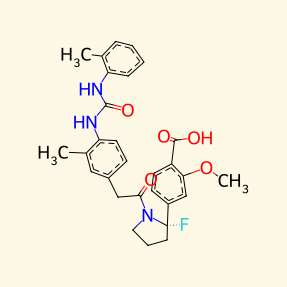 COc1cc([C@@]2(F)CCCN2C(=O)Cc2ccc(NC(=O)Nc3ccccc3C)c(C)c2)ccc1C(=O)O